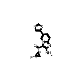 Nc1nc2ccc(-c3cncs3)cn2c1C(=O)[C@@H]1C[C@@H]1F